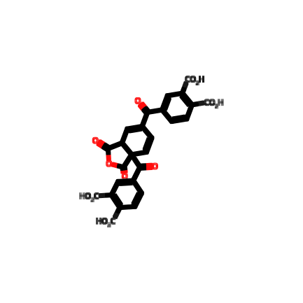 O=C(C1=CC2C(=O)OC(=O)C2(C(=O)c2ccc(C(=O)O)c(C(=O)O)c2)C=C1)c1ccc(C(=O)O)c(C(=O)O)c1